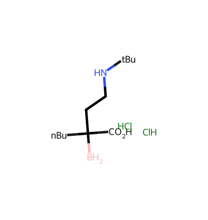 BC(CCCC)(CCNC(C)(C)C)C(=O)O.Cl.Cl